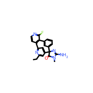 CCc1cc(C2(c3cccc(-c4cccnc4F)c3)N=C(N)N(C)C2=O)cc(CC)n1